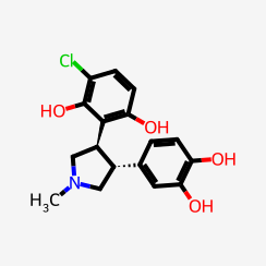 CN1C[C@@H](c2ccc(O)c(O)c2)[C@H](c2c(O)ccc(Cl)c2O)C1